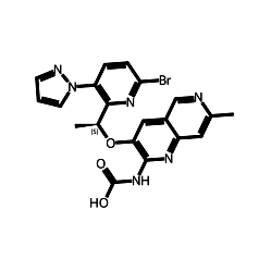 Cc1cc2nc(NC(=O)O)c(O[C@@H](C)c3nc(Br)ccc3-n3cccn3)cc2cn1